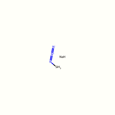 [N-]=[N+]=N[SiH3].[NaH]